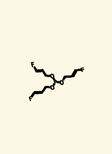 FC=CCOP(OCC=CF)OCC=CF